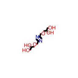 OC[C@H](O)COCc1cnc(COC[C@@H](O)CO)cn1